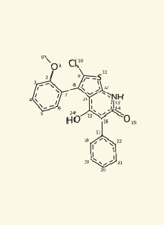 COc1ccccc1-c1c(Cl)sc2[nH]c(=O)c(-c3ccccc3)c(O)c12